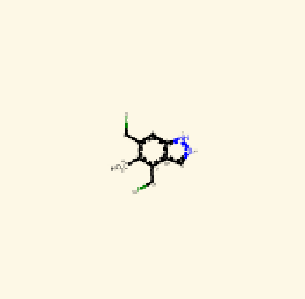 O=C(O)c1c(CF)cc2[nH]ncc2c1CF